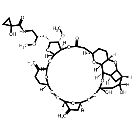 C=C1C[C@@H]2CC[C@@]3(O)C[C@@H](O)[C@@H]4C[C@@H]5C4O[C@H]4CC[C@H](CC(=O)C[C@@H]6[C@@H](OC)[C@@H](C[C@@H](CNC(=O)C7(O)CC7)OC)O[C@H]6C[C@H]6O[C@H](CCC6=C)CC[C@@H]1O2)O[C@@H]4[C@@H]5O3